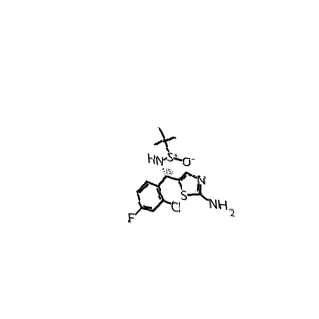 CC(C)(C)[S+]([O-])N[C@H](c1cnc(N)s1)c1ccc(F)cc1Cl